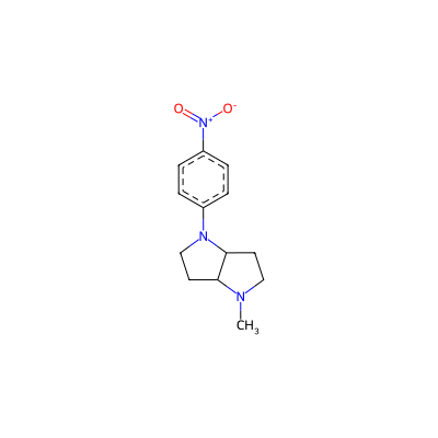 CN1CCC2C1CCN2c1ccc([N+](=O)[O-])cc1